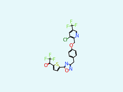 O=C(c1ccc(-c2nc(Cc3ccc(OCc4ncc(C(F)(F)F)cc4Cl)cc3)no2)s1)C(F)(F)F